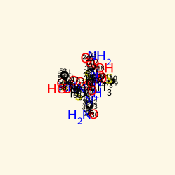 CO[C@@]1(NC(=O)Cc2cccs2)C(=O)N2C(C(=O)O)=C(COC(N)=O)CS[C@@H]21.NC(=O)c1cc[n+](CC2=C(C(=O)[O-])N3C(=O)[C@@H](NC(=O)C(c4ccccc4)S(=O)(=O)O)[C@H]3SC2)cc1